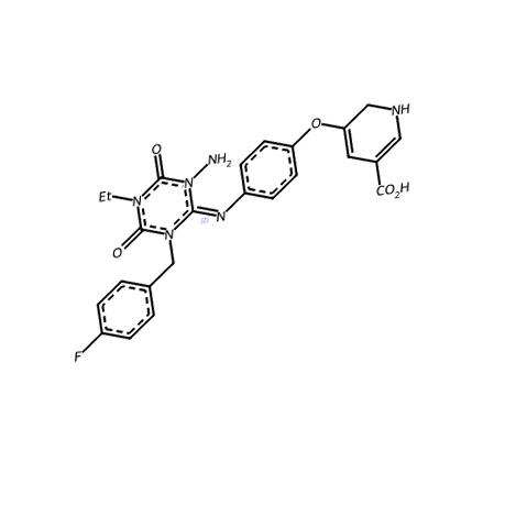 CCn1c(=O)n(N)/c(=N\c2ccc(OC3=CC(C(=O)O)=CNC3)cc2)n(Cc2ccc(F)cc2)c1=O